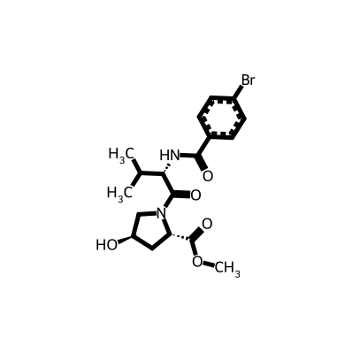 COC(=O)[C@@H]1C[C@@H](O)CN1C(=O)[C@@H](NC(=O)c1ccc(Br)cc1)C(C)C